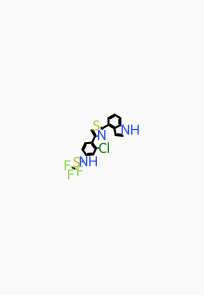 FC(F)(F)SNc1ccc(-c2csc(-c3cccc4[nH]ccc34)n2)c(Cl)c1